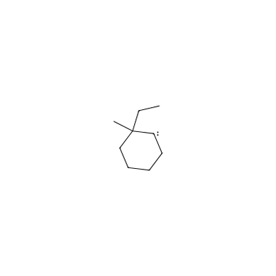 CCC1(C)[C]CCCC1